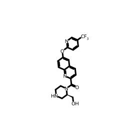 O=C(c1ccc2cc(Oc3ccc(C(F)(F)F)cn3)ccc2n1)N1CCNC[C@@H]1CO